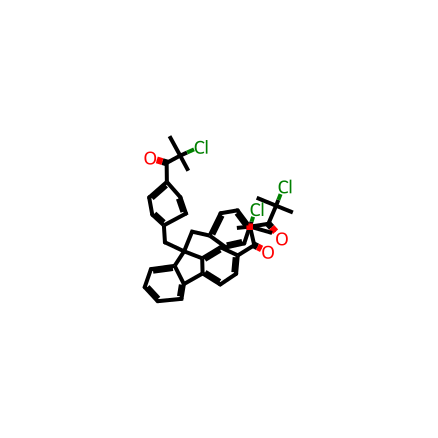 CC(C)(Cl)C(=O)c1ccc(CC2(Cc3ccc(C(=O)C(C)(C)Cl)cc3)c3ccccc3-c3ccc(C(=O)C(C)(C)Cl)cc32)cc1